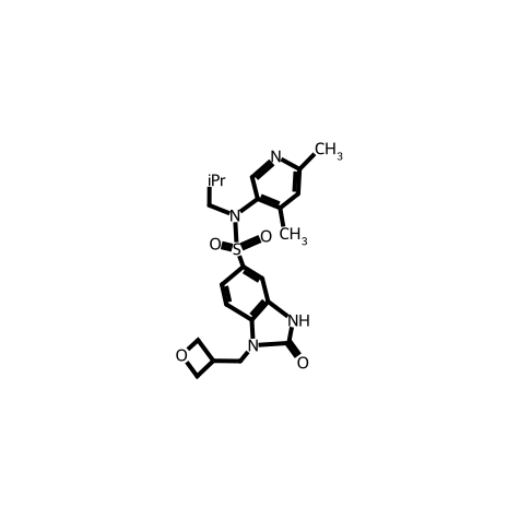 Cc1cc(C)c(N(CC(C)C)S(=O)(=O)c2ccc3c(c2)[nH]c(=O)n3CC2COC2)cn1